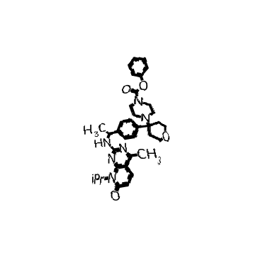 Cc1nc(N[C@@H](C)c2ccc(C3(N4CCN(C(=O)Oc5ccccc5)CC4)CCOCC3)cc2)nc2c1ccc(=O)n2C(C)C